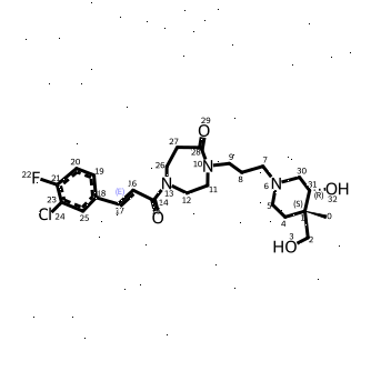 C[C@@]1(CO)CCN(CCCN2CCN(C(=O)/C=C/c3ccc(F)c(Cl)c3)CCC2=O)C[C@@H]1O